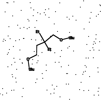 CCC(CC)(CCOC(C)(C)C)COC(C)(C)C